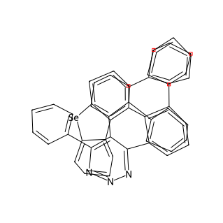 c1ccc(-c2ccccc2-c2c(-c3ccccc3)nnnc2-c2cccc(-c3ccccc3)c2-c2c(-c3ccccc3)ccc3[se]c4ccccc4c23)cc1